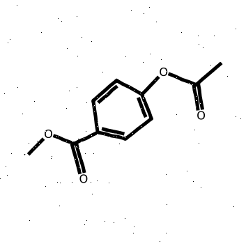 [CH2]OC(=O)c1ccc(OC(C)=O)cc1